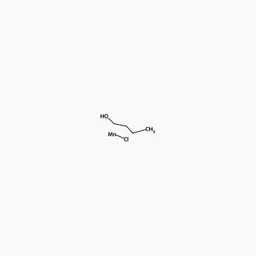 CCCCO.[Cl][Mn]